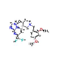 COc1ccc(CN2CC[C@H](C)[C@@H](c3cc(C(F)F)nc4ncnn34)C2)c(OC)c1